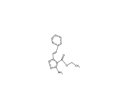 CCOC(=O)c1c(C=Cc2ccccc2)csc1N